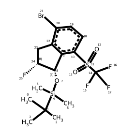 CC(C)(C)[Si](C)(C)O[C@H]1c2c(S(=O)(=O)C(F)(F)F)ccc(Br)c2C[C@H]1F